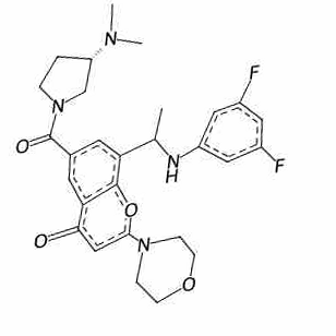 CC(Nc1cc(F)cc(F)c1)c1cc(C(=O)N2CC[C@H](N(C)C)C2)cc2c(=O)cc(N3CCOCC3)oc12